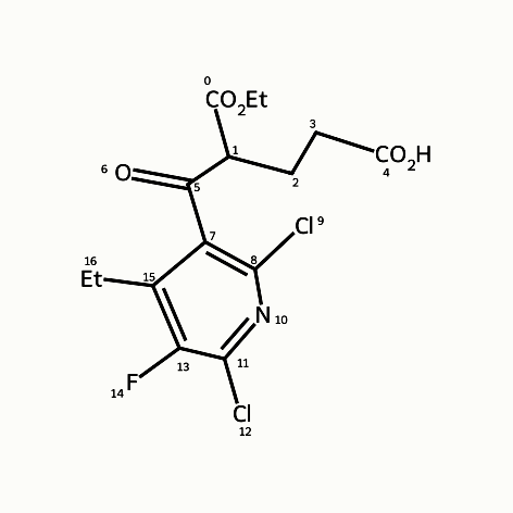 CCOC(=O)C(CCC(=O)O)C(=O)c1c(Cl)nc(Cl)c(F)c1CC